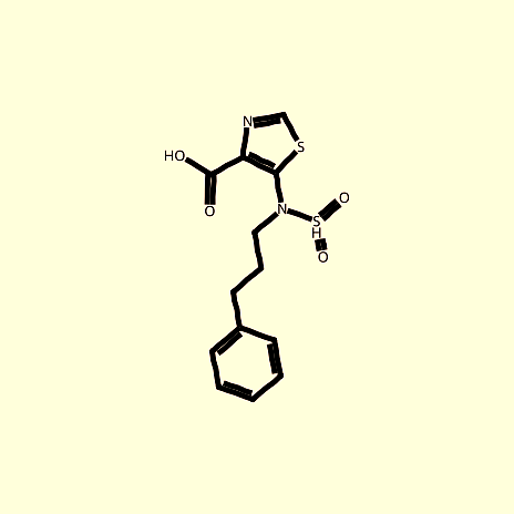 O=C(O)c1ncsc1N(CCCc1ccccc1)[SH](=O)=O